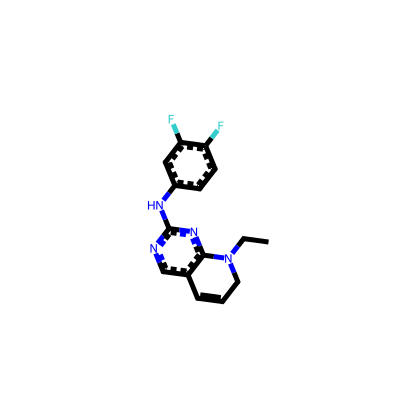 CCN1CC=Cc2cnc(Nc3ccc(F)c(F)c3)nc21